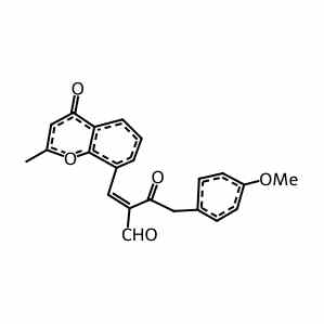 COc1ccc(CC(=O)C(C=O)=Cc2cccc3c(=O)cc(C)oc23)cc1